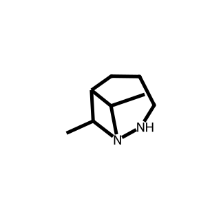 CC1C2CCCNN1C2C